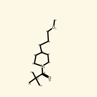 COCCCC1CCN(C(=O)C(C)(C)C)CC1